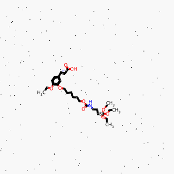 CCOc1ccc(/C=C/C(=O)O)cc1OCCCCCCOC(=O)NCCC[Si](OCC)(OCC)OCC